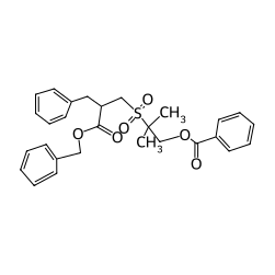 CC(C)(COC(=O)c1ccccc1)S(=O)(=O)CC(Cc1ccccc1)C(=O)OCc1ccccc1